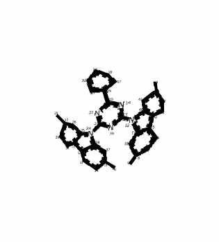 Cc1ccc2c3ccc(C)cc3n(-c3nc(-c4ccccc4)nc(-n4c5cc(C)ccc5c5ccc(C)cc54)n3)c2c1